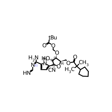 CC(C)(C)C(=O)OCO[C@H]1[C@@H](O)[C@](C#N)(c2ccc(/C(N)=N\C=N)[nH]2)O[C@@H]1COC(=O)C(C)(C)C1CCCCC1